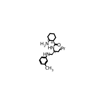 Cc1cccc(NC[C@H](CC(C)C)NC(=O)[C@@H]2CCCC[C@@H]2N)c1